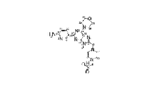 Cn1c(CN2CCN(C[SH](=O)=O)CC2)nc2c(N3CCOCC3)nc(-c3ccc(N)nc3)nc21